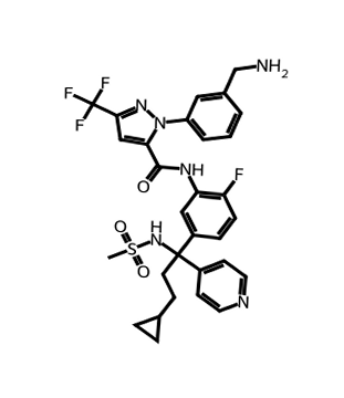 CS(=O)(=O)NC(CCC1CC1)(c1ccncc1)c1ccc(F)c(NC(=O)c2cc(C(F)(F)F)nn2-c2cccc(CN)c2)c1